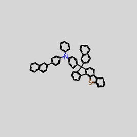 c1ccc(N(c2ccc(-c3ccc4ccccc4c3)cc2)c2ccc(C3(c4ccc5ccccc5c4)c4ccccc4-c4c3ccc3c4sc4ccccc43)cc2)cc1